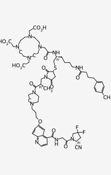 Cc1ccc(CCCC(=O)NCCCC[C@@H](CSC2CC(=O)N(C[C@@H](C)C(=O)N3CCN(CCCOc4ccc5nccc(C(=O)NCC(=O)N6CC(F)(F)C[C@@H]6C#N)c5c4)CC3)C2=O)NC(=O)CN2CCN(CC(=O)O)CCN(CC(=O)O)CCN(CC(=O)O)CC2)cc1